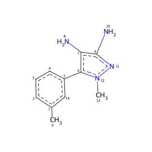 Cc1cccc(-c2c(N)c(N)nn2C)c1